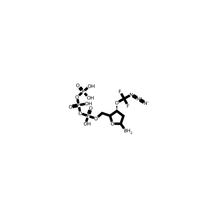 BC1C[C@@H](OC(F)(F)N=[N+]=[N-])C(COP(=O)(O)OP(=O)(O)OP(=O)(O)O)O1